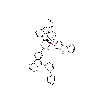 c1ccc(-c2cccc(-n3c4ccccc4c4ccc(-c5nc(-c6ccc7c(c6)oc6ccccc67)nc(-c6cccc7c6C6(c8ccccc8-7)C7CC8CC(C7)CC6C8)n5)cc43)c2)cc1